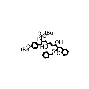 CC(C)(C)OC(=O)NC(Cc1ccc(OC(C)(C)C)cc1)CC(O)C=CC(O)C(Cc1ccccc1)C(=O)SCc1ccccc1